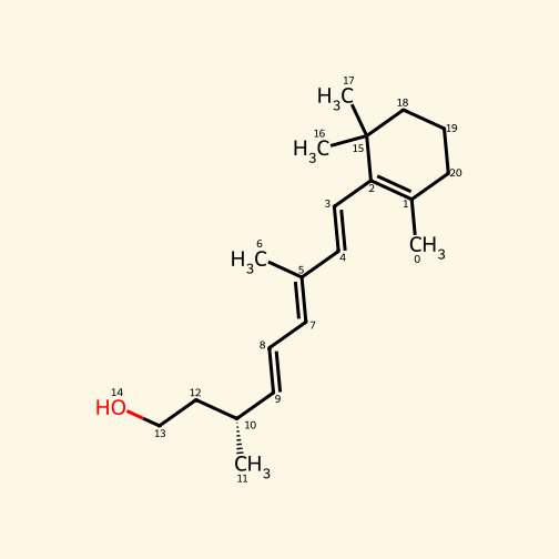 CC1=C(/C=C/C(C)=C/C=C/[C@H](C)CCO)C(C)(C)CCC1